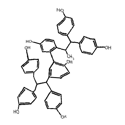 CC(c1ccc(O)cc1-c1cc(C(c2ccc(O)cc2)C(c2ccc(O)cc2)c2ccc(O)cc2)ccc1O)C(c1ccc(O)cc1)c1ccc(O)cc1